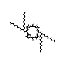 CCCCCCCCCC(CCCCCCCC)Cc1c2nc(c(Br)c3ccc([nH]3)c(CC(CCCCCCCC)CCCCCCCCC)c3nc(c(Br)c4ccc1[nH]4)C=C3)C=C2